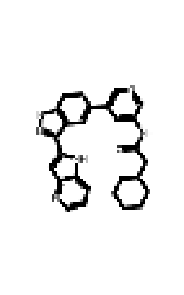 O=C(CC1CCCCC1)Nc1cncc(-c2ccc3[nH]nc(-c4cc5ncccc5[nH]4)c3c2)c1